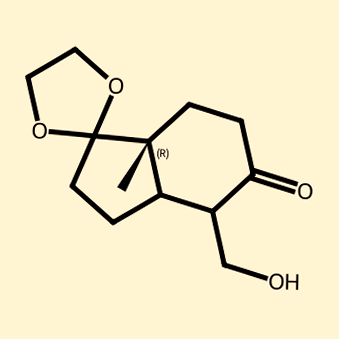 C[C@@]12CCC(=O)C(CO)C1CCC21OCCO1